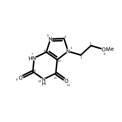 COCCn1cnc2[nH]c(=O)[nH]c(=O)c21